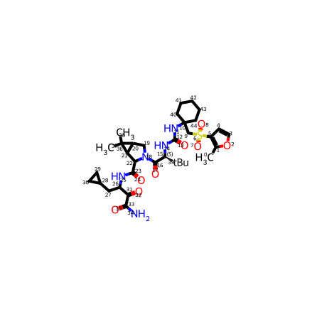 Cc1occc1S(=O)(=O)CC1(NC(=O)N[C@H](C(=O)N2CC3C(C2C(=O)NC(CC2CC2)C(=O)C(N)=O)C3(C)C)C(C)(C)C)CCCCC1